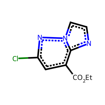 CCOC(=O)c1cc(Cl)nn2ccnc12